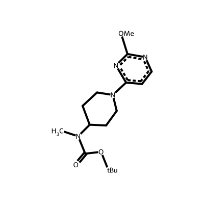 COc1nccc(N2CCC(N(C)C(=O)OC(C)(C)C)CC2)n1